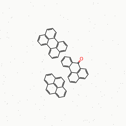 O=C1c2ccccc2-c2cccc3cccc1c23.c1cc2ccc3cccc4ccc(c1)c2c34.c1cc2cccc3c4cccc5cccc(c(c1)c23)c54